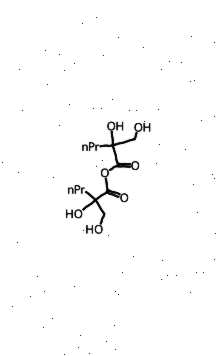 CCCC(O)(CO)C(=O)OC(=O)C(O)(CO)CCC